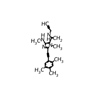 C#CCNC(=C)c1c(NC)nc(C#Cc2cc(C)c(C)cc2C)n1C